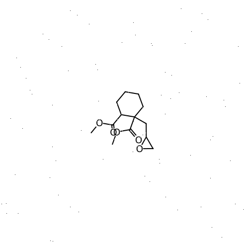 COC(=O)C1CCCCC1(CC1CO1)C(=O)OC